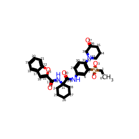 CCS(=O)(=O)c1cc(NC(=O)C2(NC(=O)c3cc4ccccc4o3)CCCCC2)ccc1N1CCCC(=O)C1